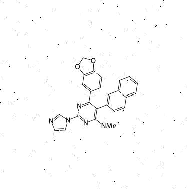 CNc1nc(-n2ccnc2)nc(-c2ccc3c(c2)OCO3)c1-c1ccc2ccccc2c1